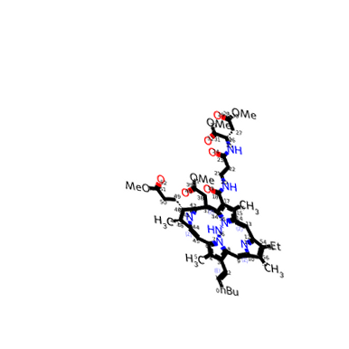 CCCC/C=C/c1c(C)c2n3c1/C=C1N=C(/C=c4/c(C)c(C(=O)NCCC(=O)N[C@@H](CC(=O)OC)C(=O)OC)/c(n4N3)=C(\CC(=O)OC)C3=N/C(=C\2)[C@@H](C)[C@@H]3CCC(=O)OC)C(CC)=C\1C